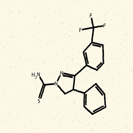 NC(=S)N1CC(c2ccccc2)C(c2cccc(C(F)(F)F)c2)=N1